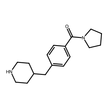 O=C(c1ccc(CC2CCNCC2)cc1)N1CCCC1